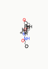 C[C@H]1C[C@H]2O[C@]3(CCC45CC3(C)C4C[C@H]3[C@H]5CCC4=CC(=O)CC[C@@]43C)[C@H](C)[C@@H]2N(CCNC(=O)CCc2ccccc2)C1